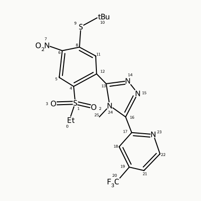 CCS(=O)(=O)c1cc([N+](=O)[O-])c(SC(C)(C)C)cc1-c1nnc(-c2cc(C(F)(F)F)ccn2)n1C